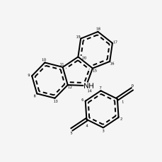 C=c1ccc(=C)cc1.c1ccc2c(c1)[nH]c1ccccc12